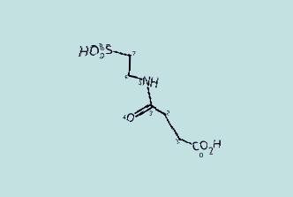 O=C(O)CCC(=O)NCCS(=O)(=O)O